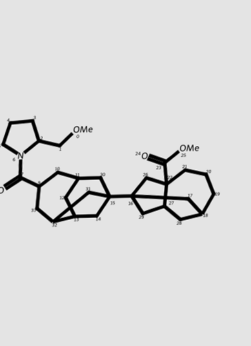 COCC1CCCN1C(=O)C1CC2CC3CC(C45CC6CCCC(C(=O)OC)(C4)C(C6)C5)(C2)CC3C1